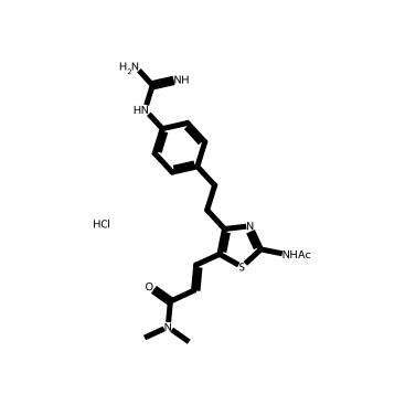 CC(=O)Nc1nc(CCc2ccc(NC(=N)N)cc2)c(/C=C/C(=O)N(C)C)s1.Cl